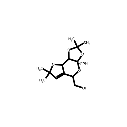 CC1(C)C=C2C(CO)O[C@@H]3OC(C)(C)OC3C2O1